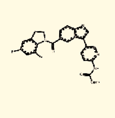 COC(=O)Nc1ccc(-c2cnc3ccc(C(=O)N4CCc5cc(F)cc(F)c54)cn23)cn1